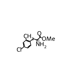 COC(=O)[C@H](N)Cc1ccc(Cl)cc1C